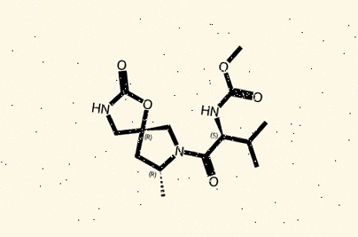 COC(=O)N[C@H](C(=O)N1C[C@]2(CNC(=O)O2)C[C@H]1C)C(C)C